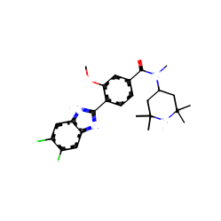 COc1cc(C(=O)N(C)C2CC(C)(C)NC(C)(C)C2)ccc1-c1nc2cc(Cl)c(Cl)cc2[nH]1